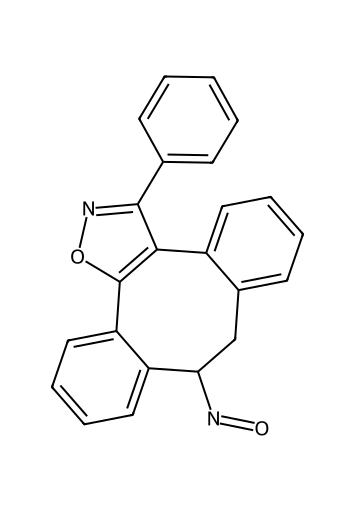 O=NC1Cc2ccccc2-c2c(-c3ccccc3)noc2-c2ccccc21